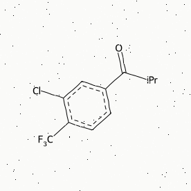 CC(C)C(=O)c1ccc(C(F)(F)F)c(Cl)c1